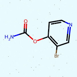 NC(=O)Oc1ccncc1Br